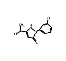 CC(Cl)c1nc(=O)n(-c2cccc(Cl)c2)[nH]1